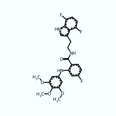 COc1cc(Nc2cc(F)ccc2C(=O)NCCc2c[nH]c3c(F)ccc(F)c23)cc(OC)c1OC